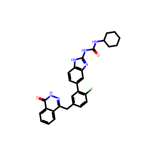 O=C(Nc1nc2cc(-c3cc(Cc4n[nH]c(=O)c5ccccc45)ccc3F)ccc2[nH]1)NC1CCCCC1